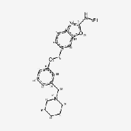 CCNc1nc2ccc(COc3cccc(CN4CCCCC4)c3)cc2o1